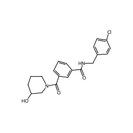 O=C(NCc1ccc(Cl)cc1)c1cccc(C(=O)N2CCCC(O)C2)c1